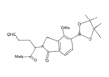 CNC(=O)C(CCC=O)N1Cc2c(ccc(B3OC(C)(C)C(C)(C)O3)c2OC)C1=O